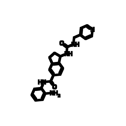 Nc1ccccc1NC(=O)c1ccc2c(c1)CCC2NC(=O)NCc1ccncc1